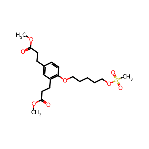 COC(=O)CCc1ccc(OCCCCCOS(C)(=O)=O)c(CCC(=O)OC)c1